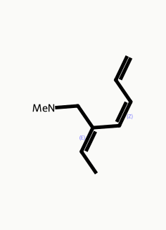 C=C/C=C\C(=C/C)CNC